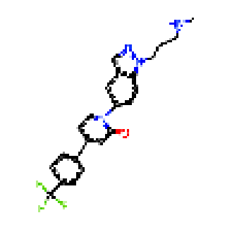 CNCCCn1ncc2cc(-n3ccc(-c4ccc(C(F)(F)F)cc4)cc3=O)ccc21